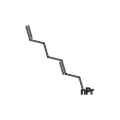 C=CCC/C=C/CCCC